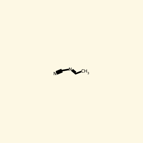 CC=NC#N